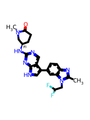 Cc1nc2ccc(-c3c[nH]c4nc(N[C@@H]5CCC(=O)N(C)C5)ncc34)cc2n1CC(F)F